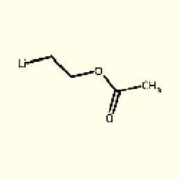 [Li][CH2]COC(C)=O